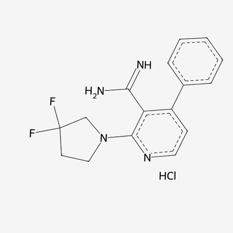 Cl.N=C(N)c1c(-c2ccccc2)ccnc1N1CCC(F)(F)C1